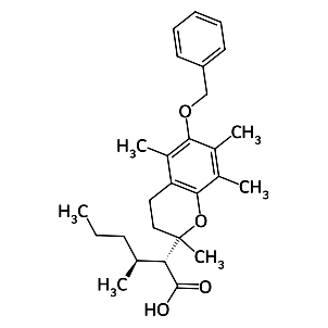 CCC[C@H](C)[C@@H](C(=O)O)C1(C)CCc2c(C)c(OCc3ccccc3)c(C)c(C)c2O1